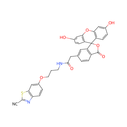 N#Cc1nc2ccc(OCCCNC(=O)Cc3ccc4c(c3)C3(OC4=O)c4ccc(O)cc4Oc4cc(O)ccc43)cc2s1